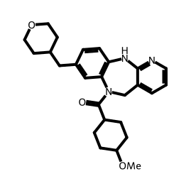 COC1CCC(C(=O)N2Cc3cccnc3Nc3ccc(CC4CCOCC4)cc32)CC1